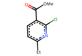 CCc1ccc(C(=O)OC)c(Cl)n1